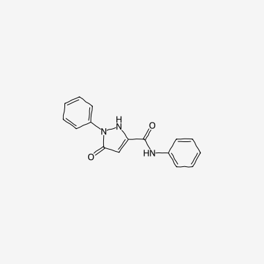 O=C(Nc1ccccc1)c1cc(=O)n(-c2ccccc2)[nH]1